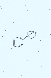 c1ccc(C23CC[C](CC2)CO3)cc1